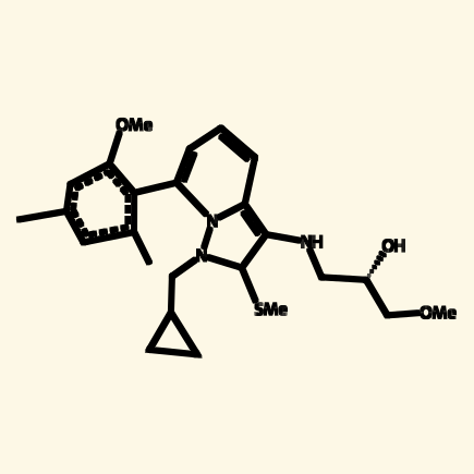 COC[C@@H](O)CNC1=C2C=CC=C(c3c(C)cc(C)cc3OC)N2N(CC2CC2)C1SC